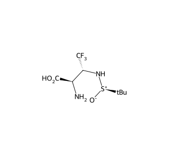 CC(C)(C)[S@@+]([O-])N[C@H]([C@@H](N)C(=O)O)C(F)(F)F